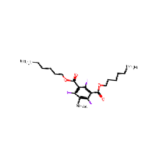 CCOC(=O)CCCCCOC(=O)c1c(I)c(NC(C)=O)c(I)c(C(=O)OCCCCCC(=O)OCC)c1I